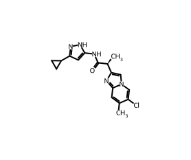 Cc1cc2nc([C@H](C)C(=O)Nc3cc(C4CC4)n[nH]3)cn2cc1Cl